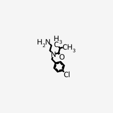 CC(C)C(=O)N(CCN)Cc1ccc(Cl)cc1